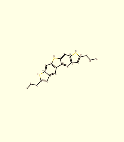 CCCc1cc2cc3c(cc2s1)sc1cc2sc(CCC)cc2cc13